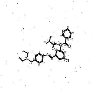 CCN(CC)Cc1ccc(N=Cc2cc(Cl)cc(OC(=O)c3cccnc3)c2OC(=O)C(C)C)cc1